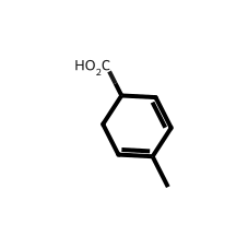 CC1=CCC(C(=O)O)C=C1